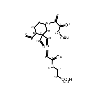 C=C(C)C(=O)OCCCC.C=CC(=O)OCCC(=O)O.C=CC1CCCCC1(C=C)C=C